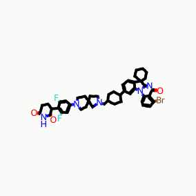 O=C1CCC(c2c(F)cc(N3CCC4(CCN(CC5CCC(c6ccc7c(c6)-n6c(nc(=O)c8c(Br)cccc86)C76CCCCC6)CC5)C4)CC3)cc2F)C(=O)N1